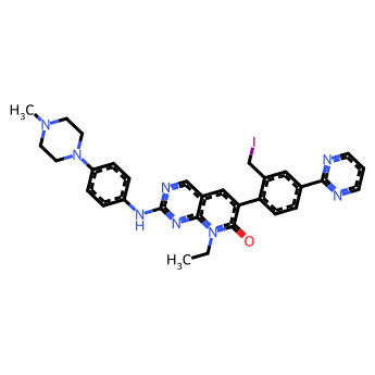 CCn1c(=O)c(-c2ccc(-c3ncccn3)cc2CI)cc2cnc(Nc3ccc(N4CCN(C)CC4)cc3)nc21